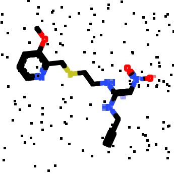 C#CCN/C(=C/[N+](=O)[O-])NCCSCc1ncccc1OC